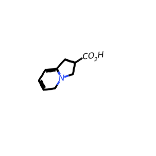 O=C(O)C1CC2=CC=CCN2C1